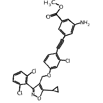 COC(=O)c1cc(N)cc(C#Cc2ccc(OCc3c(-c4c(Cl)cccc4Cl)noc3C3CC3)cc2Cl)c1